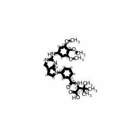 COc1cc(Nc2ncc3ccn(-c4cccc(C(=O)NC(C(=O)O)C(C)(C)C)c4)c3n2)cc(OC)c1OC